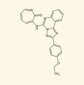 CCOc1ccc(-c2nc3c4ccccc4nc(Nc4ccccnc4=O)n3n2)cc1